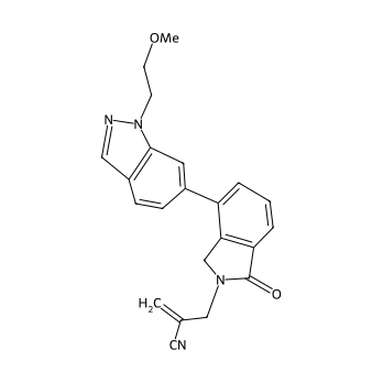 C=C(C#N)CN1Cc2c(cccc2-c2ccc3cnn(CCOC)c3c2)C1=O